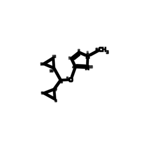 Cn1ccc(OC(C2CC2)C2CC2)n1